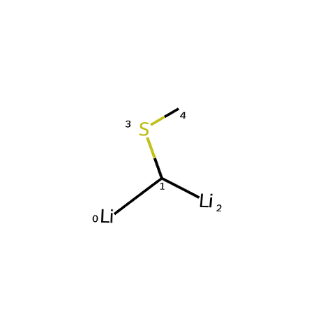 [Li][CH]([Li])SC